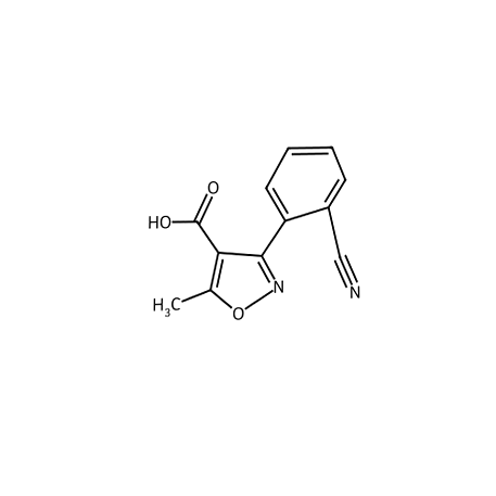 Cc1onc(-c2ccccc2C#N)c1C(=O)O